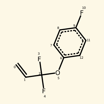 C=CC(F)(F)Oc1ccc(F)cc1